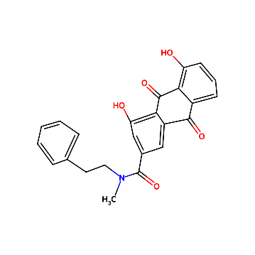 CN(CCc1ccccc1)C(=O)c1cc(O)c2c(c1)C(=O)c1cccc(O)c1C2=O